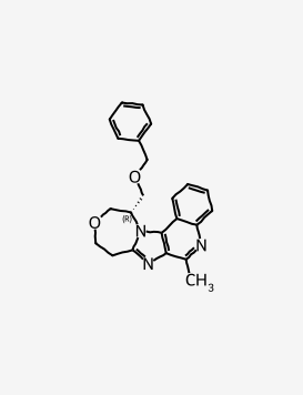 Cc1nc2ccccc2c2c1nc1n2[C@@H](COCc2ccccc2)COCC1